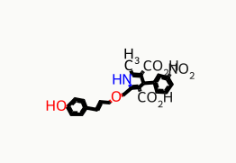 CC1=C(C(=O)O)C(c2cccc([N+](=O)[O-])c2)C(C(=O)O)=C(COCC=Cc2ccc(O)cc2)N1